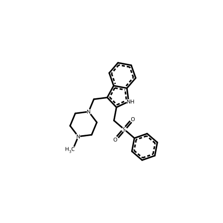 CN1CCN(Cc2c(CS(=O)(=O)c3ccccc3)[nH]c3ccccc23)CC1